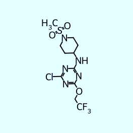 CS(=O)(=O)N1CCC(Nc2nc(Cl)nc(OCC(F)(F)F)n2)CC1